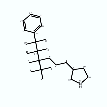 CC(C)(C)C(C)(CCCC1CCNC1)C(C)(C)C(C)(C)c1ccccc1